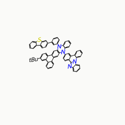 CC(C)(C)c1ccc2c(c1)c1ccccc1c1cc3c(cc21)N(c1cccc(-c2ccc4c(c2)sc2ccccc24)c1)c1ccccc1N3c1ccc2c(c1)c1ccccc1n1c3ccccc3nc21